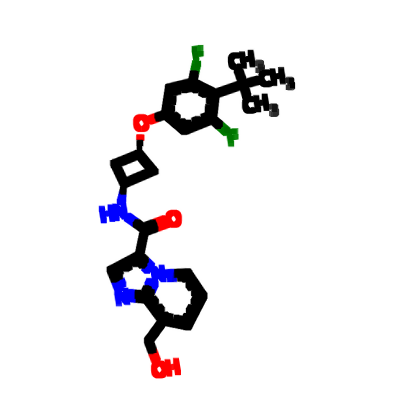 CC(C)(C)c1c(F)cc(O[C@H]2C[C@H](NC(=O)c3cnc4c(CO)cccn34)C2)cc1F